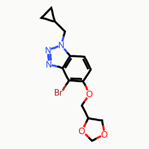 Brc1c(OCC2COCO2)ccc2c1nnn2CC1CC1